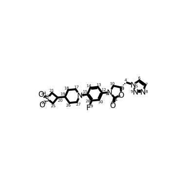 O=C1O[C@@H](Cn2ccnn2)CN1c1ccc(N2CCC(C3CS(=O)(=O)C3)CC2)c(F)c1